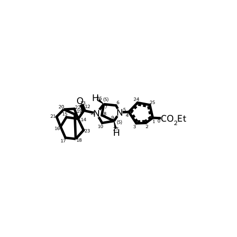 CCOC(=O)c1ccc(N2C[C@@H]3C[C@H]2CN3C(=O)C23CC4CC(CC(C4)C2)C3)cc1